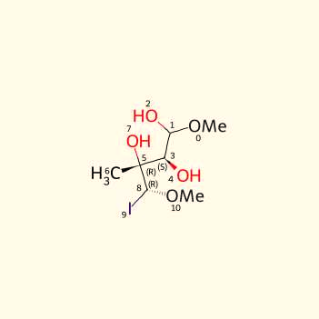 COC(O)[C@@H](O)[C@@](C)(O)[C@@H](I)OC